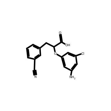 N#Cc1cccc(CC(Oc2cc(N)cc(Cl)c2)C(=O)O)c1